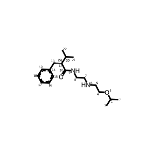 CC(C)OCCNCCNC(=O)[C@@H](Cc1ccccc1)C(C)C